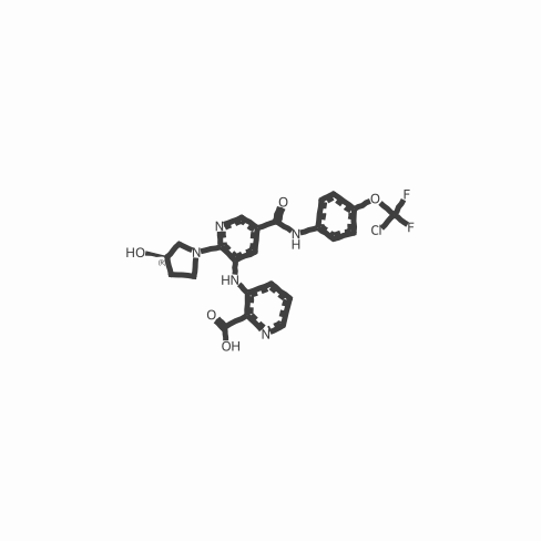 O=C(Nc1ccc(OC(F)(F)Cl)cc1)c1cnc(N2CC[C@@H](O)C2)c(Nc2cccnc2C(=O)O)c1